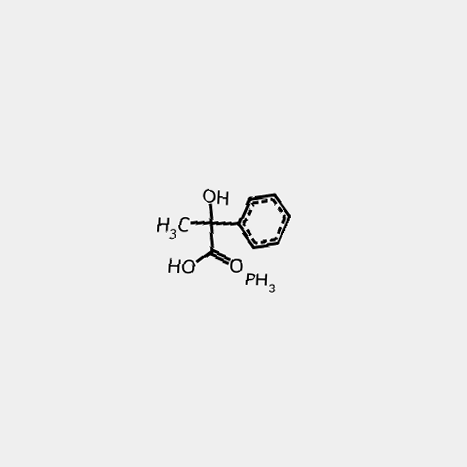 CC(O)(C(=O)O)c1ccccc1.P